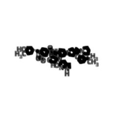 CC(C)c1ccccc1[C@H]1CCCCN1C1CC2(CCN(c3ccc(C(=O)NS(=O)(=O)c4ccc(NC[C@H]5CC[C@](C)(O)CC5)c([N+](=O)[O-])c4)c(N4c5cc6cc[nH]c6nc5O[C@H]5COCC[C@@H]54)c3)CC2)C1C